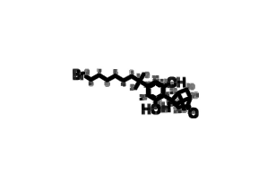 CC(C)(CCCCCCBr)c1cc(O)c([C@@H]2CC(=O)C3CC2C3(C)C)c(O)c1